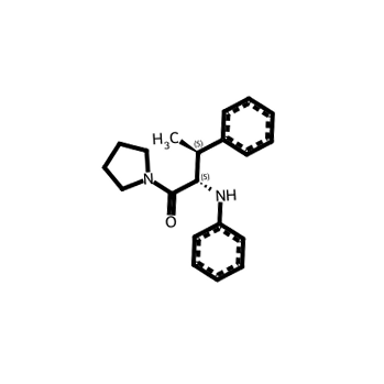 C[C@@H](c1ccccc1)[C@H](Nc1ccccc1)C(=O)N1CCCC1